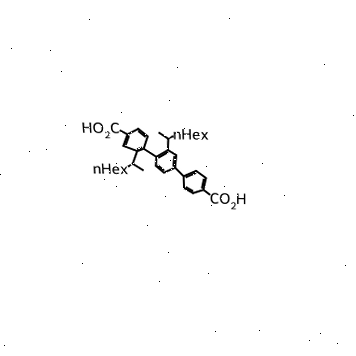 CCCCCC[C@H](C)c1cc(C(=O)O)ccc1-c1ccc(-c2ccc(C(=O)O)cc2)cc1[C@@H](C)CCCCCC